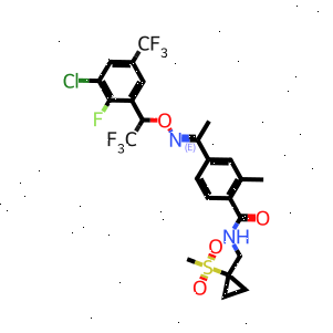 C/C(=N\OC(c1cc(C(F)(F)F)cc(Cl)c1F)C(F)(F)F)c1ccc(C(=O)NCC2(S(C)(=O)=O)CC2)c(C)c1